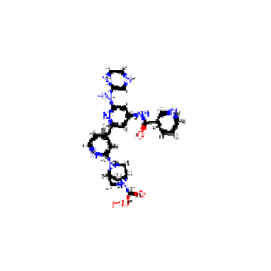 O=C(Nc1cc(Nc2cnccn2)nc(-c2ccnc(N3CC4CC3CN4C(=O)O)c2)c1)c1cccnc1